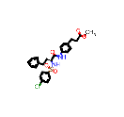 COC(=O)CCc1ccc(NC(=O)[C@H](CCc2ccccc2)NS(=O)(=O)c2ccc(Cl)cc2)cc1